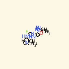 CC1(C)Oc2ccc(Nc3ncc(F)c(N[C@H]4C[C@H]5CCCN5C(C)(C)C4)n3)cc2-n2nnnc21